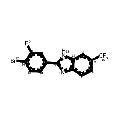 Fc1cc(-c2nc3ccc(C(F)(F)F)cc3[nH]2)ccc1Br